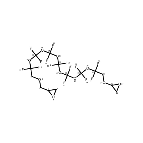 FC(F)(COCC1CO1)OC(F)(F)OC(F)(F)OC(F)(F)OC(F)(F)OC(F)(F)OC(F)(F)COC1CO1